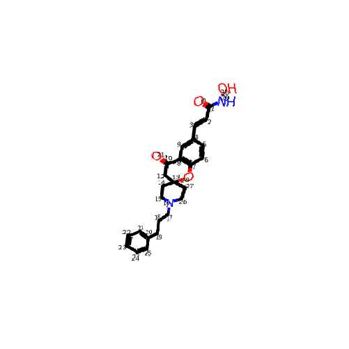 O=C(C=Cc1ccc2c(c1)C(=O)CC1(CCN(CCCc3ccccc3)CC1)O2)NO